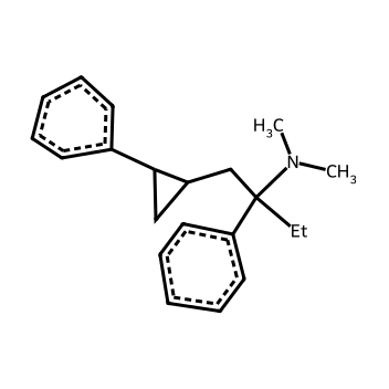 CCC(CC1CC1c1ccccc1)(c1ccccc1)N(C)C